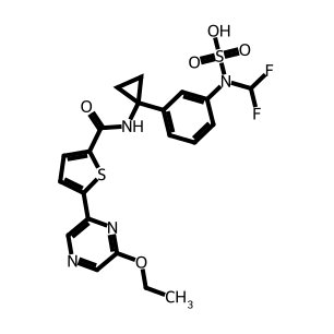 CCOc1cncc(-c2ccc(C(=O)NC3(c4cccc(N(C(F)F)S(=O)(=O)O)c4)CC3)s2)n1